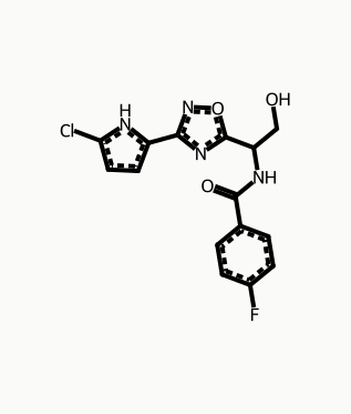 O=C(NC(CO)c1nc(-c2ccc(Cl)[nH]2)no1)c1ccc(F)cc1